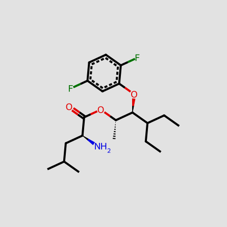 CCC(CC)[C@H](Oc1cc(F)ccc1F)[C@H](C)OC(=O)[C@@H](N)CC(C)C